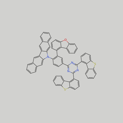 c1ccc2cc3c(cc2c1)c1cc2ccccc2cc1n3-c1ccc(-c2nc(-c3cccc4sc5ccccc5c34)nc(-c3cccc4sc5ccccc5c34)n2)cc1-c1cccc2oc3ccccc3c12